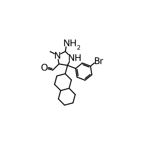 CN1C(N)NC(c2cccc(Br)c2)(C2CCC3CCCCC3C2)C1C=O